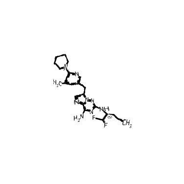 CCC[C@H](Nc1nc(N)c2ncc(Cc3cnc(N4CCCCC4)c(C)c3)n2n1)C(F)F